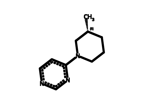 C[C@@H]1CCCN(c2ccncn2)C1